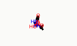 C#Cc1ccc(CNC(=O)[C@@H]2C[C@@H](O)CN2C(=O)[C@@H](NC(=O)C2CCC3(CC2)CC(=O)C3)C(C)(C)C)c(OC)c1